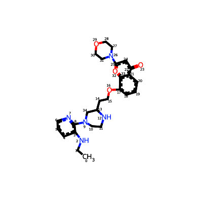 CCNc1cccnc1N1CCNC(CCOc2cccc3c(=O)cc(N4CCOCC4)oc23)C1